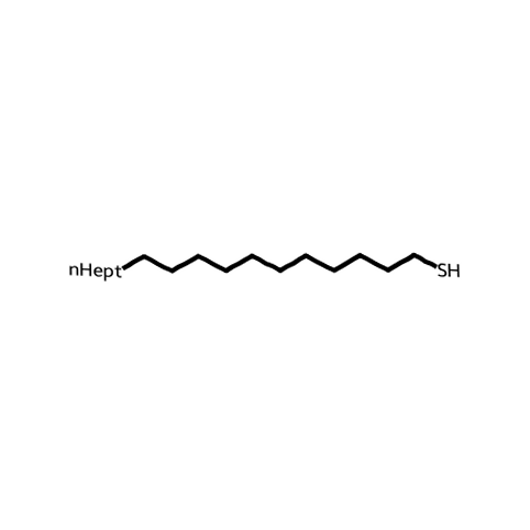 [CH2]CCCCCCCCCCCCCCCCCS